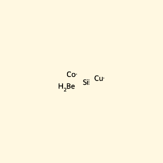 [BeH2].[Co].[Cu].[Si]